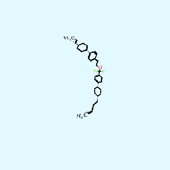 C=CCC[C@H]1CC[C@H](c2ccc(C(F)(F)OCCc3ccc([C@H]4CC[C@H](/C=C/C)CC4)cc3)cc2)CC1